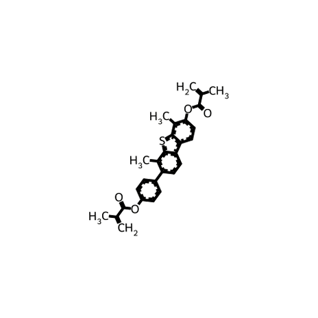 C=C(C)C(=O)Oc1ccc(-c2ccc3c(sc4c(C)c(OC(=O)C(=C)C)ccc43)c2C)cc1